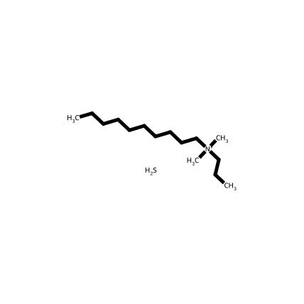 CCCCCCCCCC[N+](C)(C)CCC.S